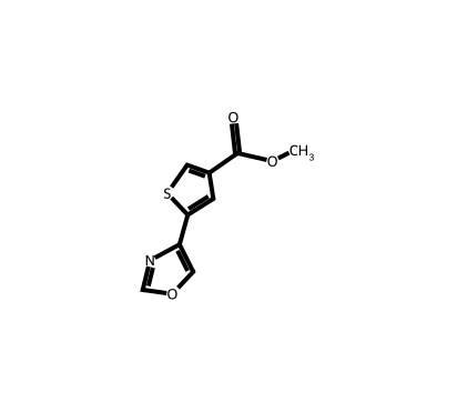 COC(=O)c1csc(-c2cocn2)c1